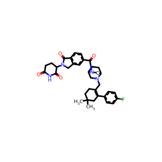 CC1(C)CCC(CN2CC3CCC2CN3C(=O)c2ccc3c(c2)CN(C2CCC(=O)NC2=O)C3=O)=C(c2ccc(F)cc2)C1